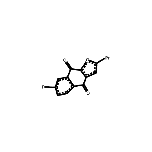 CC(C)c1cc2c(o1)C(=O)c1cc(F)ccc1C2=O